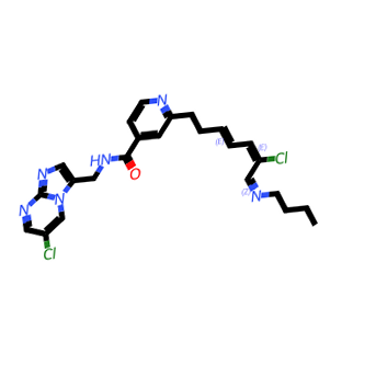 CCCC\N=C/C(Cl)=C\C=C\CCc1cc(C(=O)NCc2cnc3ncc(Cl)cn23)ccn1